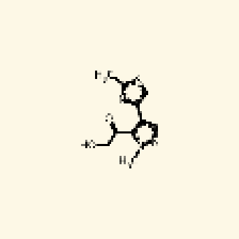 Cc1nc(-c2cnn(C)c2C(=O)CO)cs1